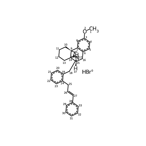 Br.COc1ccc2c(c1)[C@@]13CCCC[C@H]1[C@@H](C2)N(Cc1ccccc1C/C=C/c1ccccc1)CC3